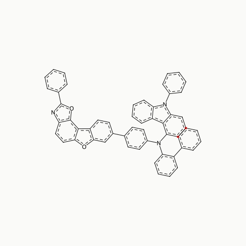 c1ccc(-c2nc3ccc4oc5cc(-c6ccc(N(c7ccccc7-c7ccccc7)c7cccc8c7c7ccccc7n8-c7ccccc7)cc6)ccc5c4c3o2)cc1